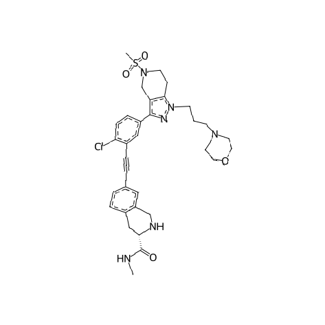 CNC(=O)[C@@H]1Cc2ccc(C#Cc3cc(-c4nn(CCCN5CCOCC5)c5c4CN(S(C)(=O)=O)CC5)ccc3Cl)cc2CN1